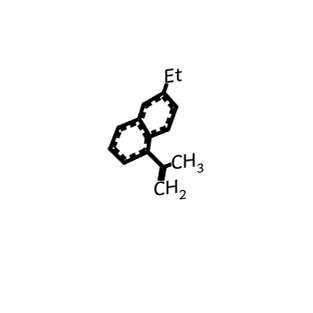 C=C(C)c1cccc2cc(CC)ccc12